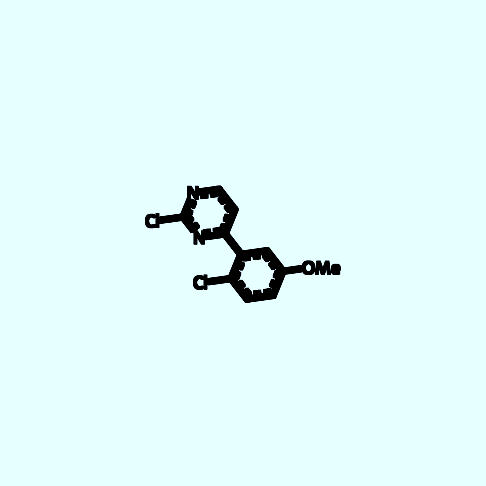 COc1ccc(Cl)c(-c2ccnc(Cl)n2)c1